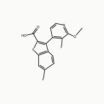 COc1nccc(-c2c(C(=O)O)sc3cc(F)ccc23)c1F